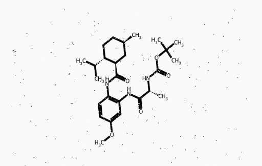 COc1ccc(NC(=O)[C@@H]2C[C@H](C)CC[C@H]2C(C)C)c(NC(=O)[C@@H](C)NC(=O)OC(C)(C)C)c1